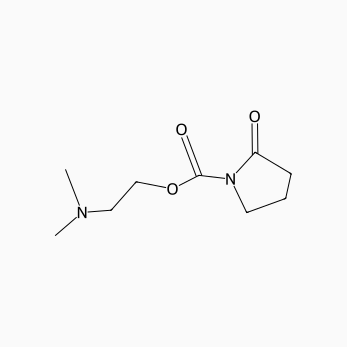 CN(C)CCOC(=O)N1CCCC1=O